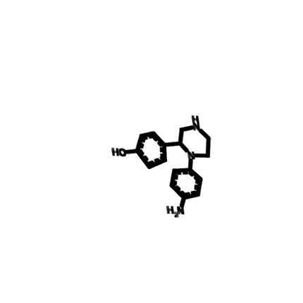 Nc1ccc(N2CCNCC2c2ccc(O)cc2)cc1